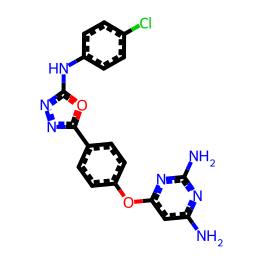 Nc1cc(Oc2ccc(-c3nnc(Nc4ccc(Cl)cc4)o3)cc2)nc(N)n1